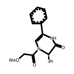 COCC(=O)N1C=C(c2ccccc2)NC(=O)[C@H]1C(C)C